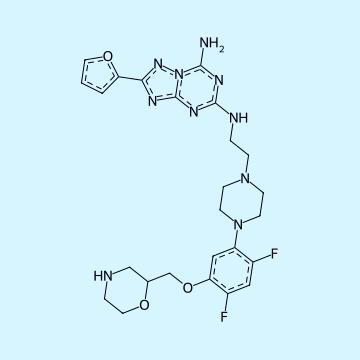 Nc1nc(NCCN2CCN(c3cc(OCC4CNCCO4)c(F)cc3F)CC2)nc2nc(-c3ccco3)nn12